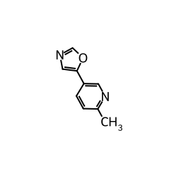 Cc1ccc(-c2cnco2)cn1